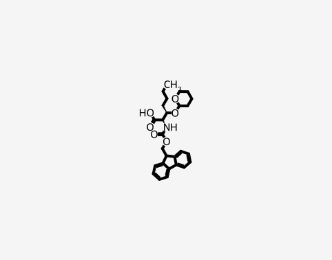 CCCC[C@@H](OC1CCCCO1)[C@H](NC(=O)OCC1c2ccccc2-c2ccccc21)C(=O)O